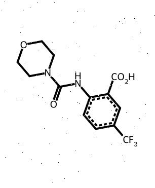 O=C(O)c1cc(C(F)(F)F)ccc1NC(=O)N1CCOCC1